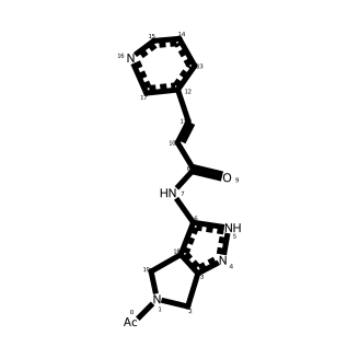 CC(=O)N1Cc2n[nH]c(NC(=O)C=Cc3cccnc3)c2C1